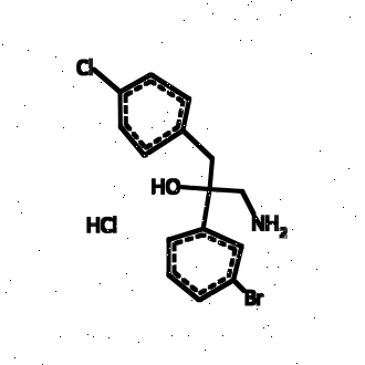 Cl.NCC(O)(Cc1ccc(Cl)cc1)c1cccc(Br)c1